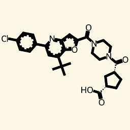 CC(C)(C)c1cc(-c2ccc(Cl)cc2)nc2cc(C(=O)N3CCN(C(=O)[C@@H]4CC[C@H](C(=O)O)C4)CC3)oc12